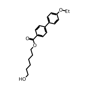 CCOc1ccc(-c2ccc(C(=O)OCCCCCCO)cc2)cc1